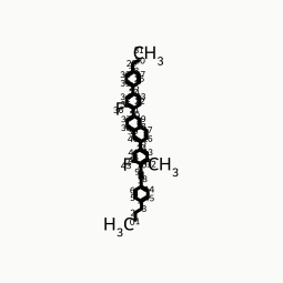 CCCCc1ccc(C#Cc2c(C)cc(-c3ccc4cc(-c5ccc(-c6ccc(CCC)cc6)cc5F)ccc4c3)cc2F)cc1